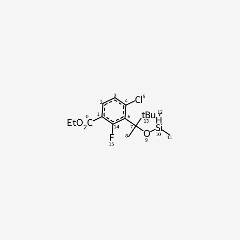 CCOC(=O)c1ccc(Cl)c(C(C)(O[SiH](C)C)C(C)(C)C)c1F